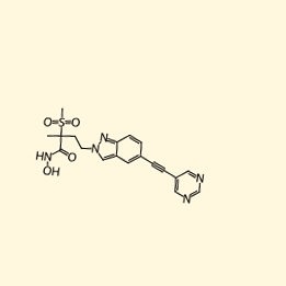 CC(CCn1cc2cc(C#Cc3cncnc3)ccc2n1)(C(=O)NO)S(C)(=O)=O